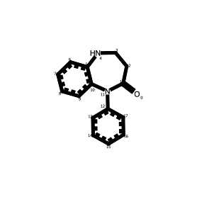 O=C1CCNc2ccccc2N1c1ccccc1